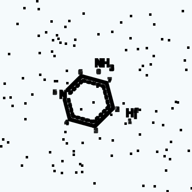 N.[Hf].c1ccncc1